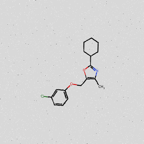 Cc1nc(C2CCCCC2)oc1COc1[c]c(Cl)ccc1